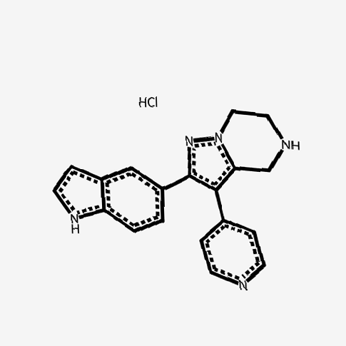 Cl.c1cc(-c2c(-c3ccc4[nH]ccc4c3)nn3c2CNCC3)ccn1